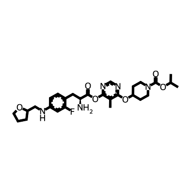 Cc1c(OC(=O)[C@@H](N)Cc2ccc(NCC3CCCO3)cc2F)ncnc1OC1CCN(C(=O)OC(C)C)CC1